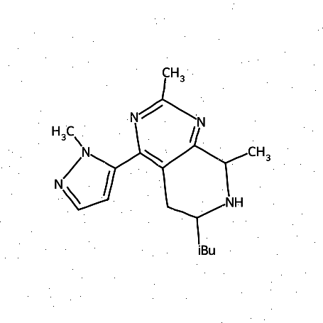 CCC(C)C1Cc2c(-c3ccnn3C)nc(C)nc2C(C)N1